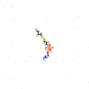 [C-]#[N+]CCOP(C)(=O)OCCCSSCCCC